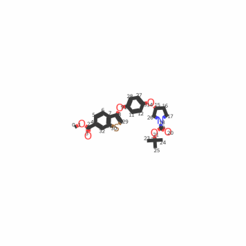 COC(=O)c1ccc2c(Oc3ccc(OC4CCN(C(=O)OC(C)(C)C)C4)cc3)csc2c1